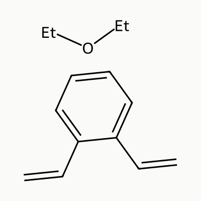 C=Cc1ccccc1C=C.CCOCC